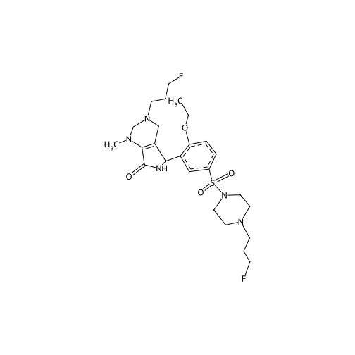 CCOc1ccc(S(=O)(=O)N2CCN(CCCF)CC2)cc1C1NC(=O)C2=C1CN(CCCF)CN2C